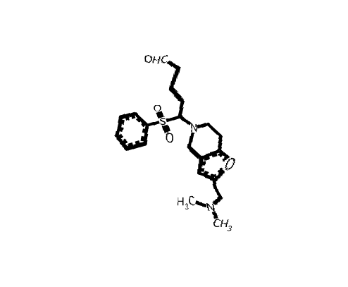 CN(C)Cc1cc2c(o1)CCN(C(CCCC=O)S(=O)(=O)c1ccccc1)C2